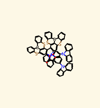 c1ccc2c(c1)Sc1cc(-n3c4ccccc4c4cc(-n5c6ccccc6c6ccccc65)ccc43)c(-c3c(-n4c5ccccc5c5cc(-n6c7ccccc7c7ccccc76)ccc54)cc4c5c3Sc3ccccc3B5c3ccccc3S4)c3c1B2c1ccccc1S3